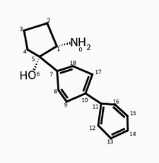 N[C@H]1CCC[C@]1(O)c1ccc(-c2ccccc2)cc1